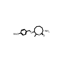 COc1ccc(COC2CCCC[C@H](N)C(=O)OC2C)cc1